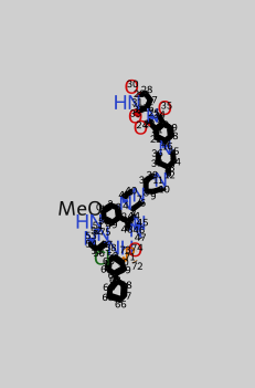 COc1cc(N2CCN(C3CCN(CC4CCN(c5ccc6c(c5)C(=O)N(C5CCC(=O)NC5=O)C6=O)CC4)CC3)CC2)c(-c2cnn(C)c2)cc1Nc1ncc(Cl)c(Nc2ccc(-c3ccccc3)cc2P(C)(C)=O)n1